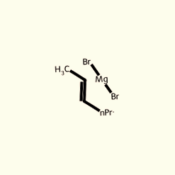 CC=C[CH]CC.[Br][Mg][Br]